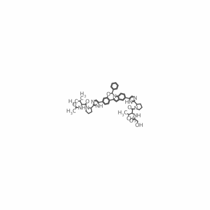 CC(=O)NC(C(=O)N1CCCC1c1ncc(-c2ccc3c(c2)OC(c2ccccc2)n2c-3cc3cc(-c4cnc(C5CCCN5C(=O)C(NC(=O)CO)C(C)C)[nH]4)ccc32)[nH]1)C(C)C